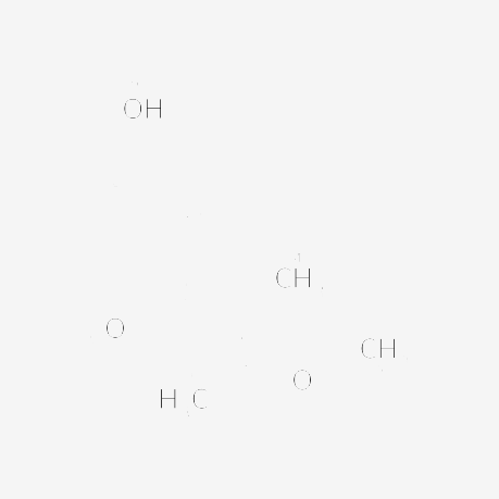 COC(C)(C)C(=O)[CH]CO